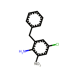 Nc1c(Cc2ccccc2)cc(Cl)cc1[N+](=O)[O-]